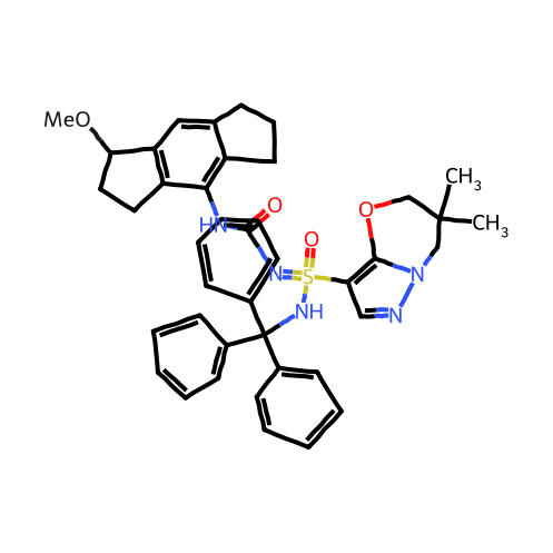 COC1CCc2c1cc1c(c2NC(=O)N=S(=O)(NC(c2ccccc2)(c2ccccc2)c2ccccc2)c2cnn3c2OCC(C)(C)C3)CCC1